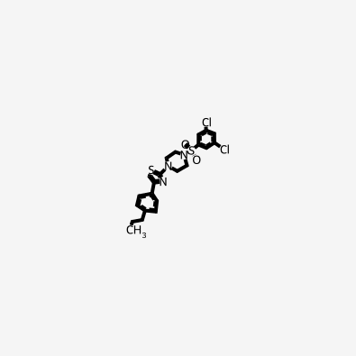 CCCc1ccc(-c2csc(N3CCN(S(=O)(=O)c4cc(Cl)cc(Cl)c4)CC3)n2)cc1